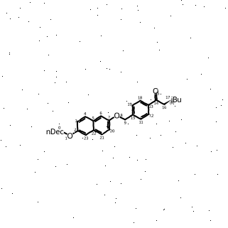 CCCCCCCCCCOc1ccc2cc(OCc3ccc(C(=O)C[C@H](C)CC)cc3)ccc2c1